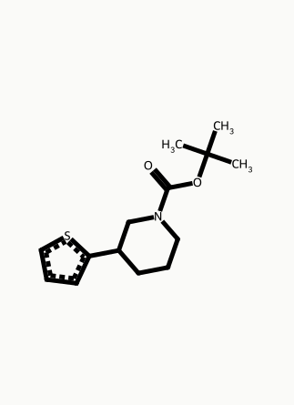 CC(C)(C)OC(=O)N1CCCC(c2cccs2)C1